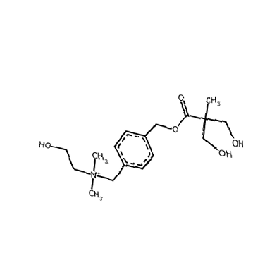 CC(CO)(CO)C(=O)OCc1ccc(C[N+](C)(C)CCO)cc1